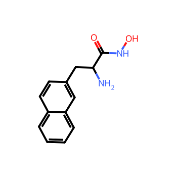 NC(Cc1ccc2ccccc2c1)C(=O)NO